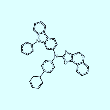 C1=CCC(c2ccc(N(c3ccc4c5ccccc5n(-c5ccccc5)c4c3)c3nc4ccc5ccccc5c4o3)cc2)C=C1